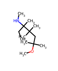 CCC(C)(NC)C(C)(C)CC(C)(C)OC